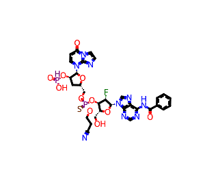 N#CCCOP(=S)(OC[C@@H]1C[C@@H](O[PH](=O)O)[C@H](n2ccc(=O)n3ccnc23)O1)O[C@H]1[C@H](F)[C@H](n2cnc3c(NC(=O)c4ccccc4)ncnc32)O[C@@H]1CO